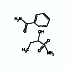 CCC(O)S(N)(=O)=O.NC(=O)c1ccccc1